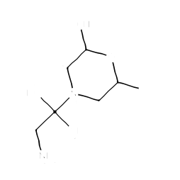 CC1CN(C(C)(C)CN)CC(C)O1